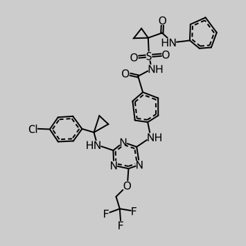 O=C(NS(=O)(=O)C1(C(=O)Nc2ccccc2)CC1)c1ccc(Nc2nc(NC3(c4ccc(Cl)cc4)CC3)nc(OCC(F)(F)F)n2)cc1